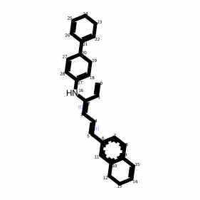 C=C/C(=C\C=C\c1ccc2c(c1)CCC=C2)NC1=CCC(C2=CCCC=C2)C=C1